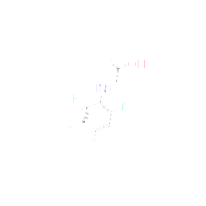 O=C(O)CNc1c(F)c(F)c(F)c(F)c1F